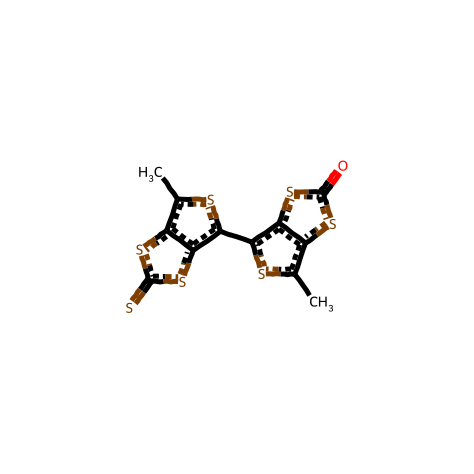 Cc1sc(-c2sc(C)c3sc(=S)sc23)c2sc(=O)sc12